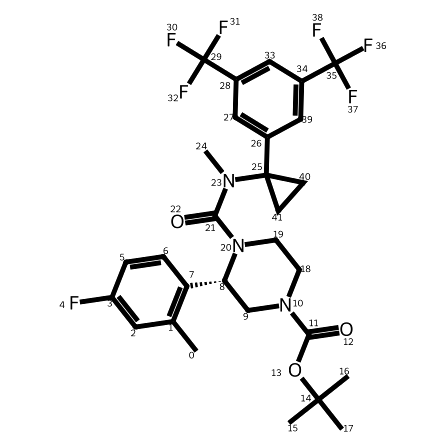 Cc1cc(F)ccc1[C@H]1CN(C(=O)OC(C)(C)C)CCN1C(=O)N(C)C1(c2cc(C(F)(F)F)cc(C(F)(F)F)c2)CC1